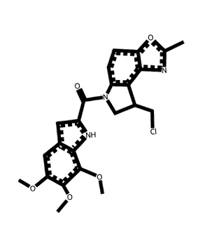 COc1cc2cc(C(=O)N3CC(CCl)c4c3c[c]c3oc(C)nc43)[nH]c2c(OC)c1OC